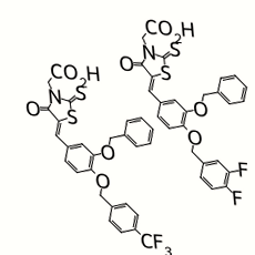 O=C(O)CN1C(=O)C(=Cc2ccc(OCc3ccc(C(F)(F)F)cc3)c(OCc3ccccc3)c2)SC1=S.O=C(O)CN1C(=O)C(=Cc2ccc(OCc3ccc(F)c(F)c3)c(OCc3ccccc3)c2)SC1=S